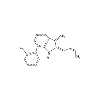 C=C1/C(=C\C=C/C)C(=O)c2c1cccc2-c1ccccc1Cl